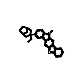 CCC1(c2ccc3c(c2)c2cc4oc5ccccc5c4cc2n3C)CC2CCC(C2)C1